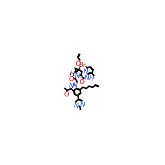 C=CCCCCc1cc(-c2cnc(C)nc2)cc2c(C(C)=O)nn(CC(=O)N3[C@H](C(=O)Nc4nc(Br)ccc4C)C[C@@]4(COCC=C)C[C@@H]34)c12